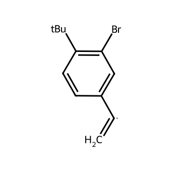 C=[C]c1ccc(C(C)(C)C)c(Br)c1